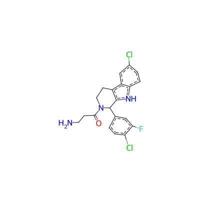 NCCC(=O)N1CCc2c([nH]c3ccc(Cl)cc23)C1c1ccc(Cl)c(F)c1